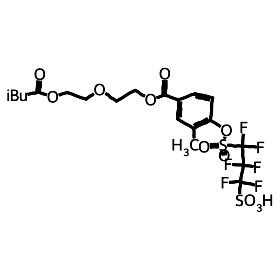 CCC(C)C(=O)OCCOCCOC(=O)c1ccc(OS(=O)(=O)C(F)(F)C(F)(F)C(F)(F)S(=O)(=O)O)c(C)c1